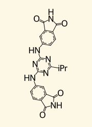 CC(C)c1nc(Nc2ccc3c(c2)C(=O)NC3=O)nc(Nc2ccc3c(c2)C(=O)NC3=O)n1